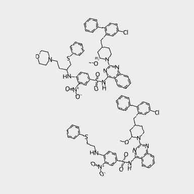 COC1CC(Cc2cc(Cl)ccc2-c2ccccc2)CCN1c1nc(NS(=O)(=O)c2ccc(NCCSc3ccccc3)c([N+](=O)[O-])c2)c2ccccc2n1.CO[C@@H]1CC(Cc2cc(Cl)ccc2-c2ccccc2)CCN1c1nc(NS(=O)(=O)c2ccc(NC(CCN3CCOCC3)CSc3ccccc3)c([N+](=O)[O-])c2)c2ccccc2n1